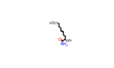 CCCCCCCCCCCC=CCCC(CCC)C(N)=O